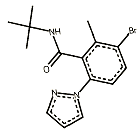 Cc1c(Br)ccc(-n2cccn2)c1C(=O)NC(C)(C)C